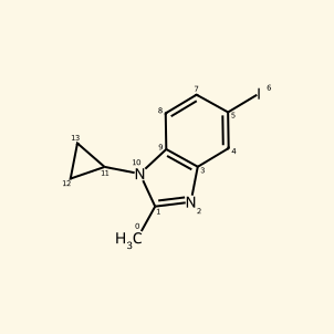 Cc1nc2cc(I)ccc2n1C1CC1